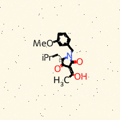 COc1cccc(CN2C(=O)C(=C(C)O)C(=O)[C@@H]2CC(C)C)c1